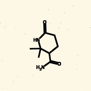 CC1(C)NC(=O)CCC1C(N)=O